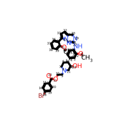 COc1cc([C@H]2CCN(CCOC(=O)c3ccc(Br)cc3)C[C@@H]2O)ccc1Nc1ncc2ccc(-c3ccccc3OC)n2n1